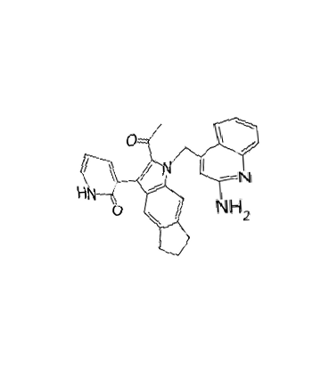 CC(=O)c1c(-c2ccc[nH]c2=O)c2cc3c(cc2n1Cc1cc(N)nc2ccccc12)CCC3